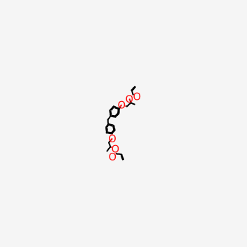 C=CC(=O)OC(C)COc1ccc(Cc2ccc(OCC(C)OC(=O)C=C)cc2)cc1